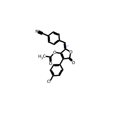 CC(=O)OC1=C(c2ccc(Cl)cc2)C(=O)O/C1=C/c1ccc(C#N)cc1